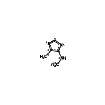 CNc1ncsc1C